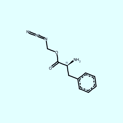 [N-]=[N+]=NCOC(=O)[C@@H](N)Cc1ccccc1